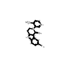 Cc1ccncc1N1CCc2sc3ccc(F)cc3c2C1=O